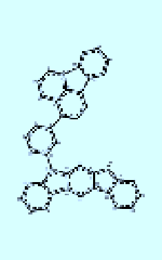 c1cc(-c2ccc3c4c(cccc24)-c2ccccc2-3)cc(-n2c3ccccc3c3cc4c(cc32)oc2ccccc24)c1